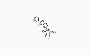 COC1=CCCC=C1C(=O)Nc1ccc2nc(-c3cccnc3)n(C)c2n1